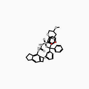 COC1COc2c(S(=O)(=NC(c3ccccc3)(c3ccccc3)c3ccccc3)NC(=O)Nc3c4c(cc5c3[C@@H](C)C5)CCC4)cnn2C1